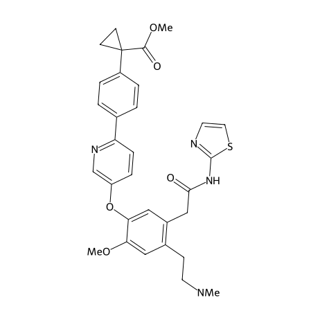 CNCCc1cc(OC)c(Oc2ccc(-c3ccc(C4(C(=O)OC)CC4)cc3)nc2)cc1CC(=O)Nc1nccs1